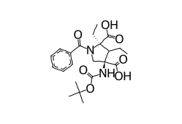 CCC1[C@](CC)(C(=O)O)N(C(=O)c2ccccc2)C[C@@]1(NC(=O)OC(C)(C)C)C(=O)O